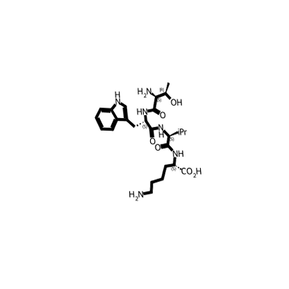 CC(C)[C@H](NC(=O)[C@H](Cc1c[nH]c2ccccc12)NC(=O)[C@@H](N)[C@@H](C)O)C(=O)N[C@@H](CCCCN)C(=O)O